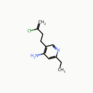 C=C(Cl)CCc1cnc(CC)cc1N